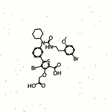 COc1ccc(Br)cc1CCNC(=O)N(c1cccc(-c2sc(C(=O)O)c(OCC(=O)O)c2Br)c1)C1CCCCC1